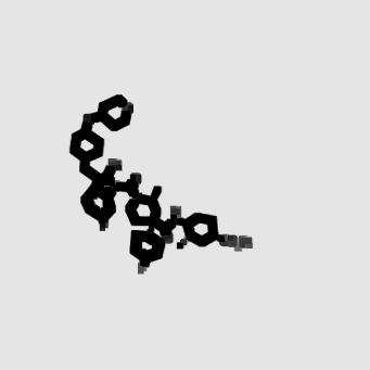 CCOC(=O)[C@H]1CC[C@H](NC(=O)[C@@]2(c3ccc(F)cc3)CCN(C(=O)n3c(CC)c(CC4CCC(OC5CCOCC5)CC4)c4ccc(F)cc43)[C@@H](C)C2)[C@@H](C)C1